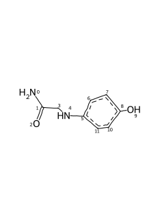 NC(=O)CNc1ccc(O)cc1